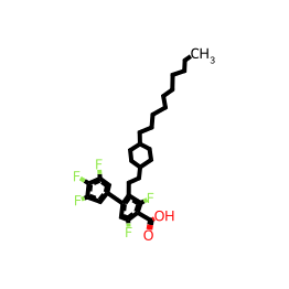 CCCCCCCCCCC1CCC(CCc2c(-c3cc(F)c(F)c(F)c3)cc(F)c(C(=O)O)c2F)CC1